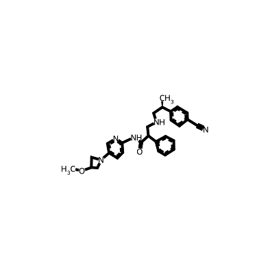 COC1CN(c2ccc(NC(=O)C(CNC[C@@H](C)c3ccc(C#N)cc3)c3ccccc3)nc2)C1